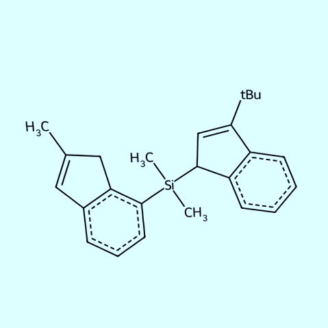 CC1=Cc2cccc([Si](C)(C)C3C=C(C(C)(C)C)c4ccccc43)c2C1